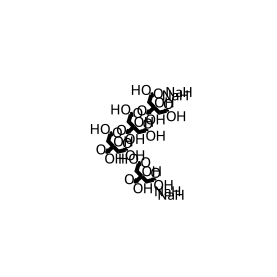 O=C(O)CC(O)(CC(=O)O)C(=O)O.O=C(O)CC(O)(CC(=O)O)C(=O)O.O=C(O)CC(O)(CC(=O)O)C(=O)O.O=C(O)CC(O)(CC(=O)O)C(=O)O.[NaH].[NaH].[NaH].[NaH]